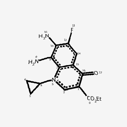 CCOC(=O)c1cn(C2CC2)c2c(N)c(N)c(F)cc2c1=O